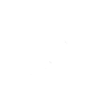 CC(C)(C)OC(=O)N1CCc2ncccc2C1CCF